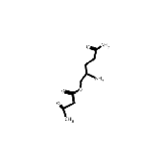 CC(=O)CC(=O)OCC(N)CCC(N)=O